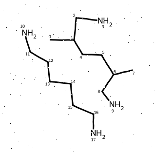 CC(CN)CCC(C)CN.NCCCCCCN